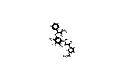 CCc1c(C#N)c(SC(C(N)=O)c2ccccc2)nc(N(C)CC(=O)N2CC[C@@H](CO)C2)c1C#N